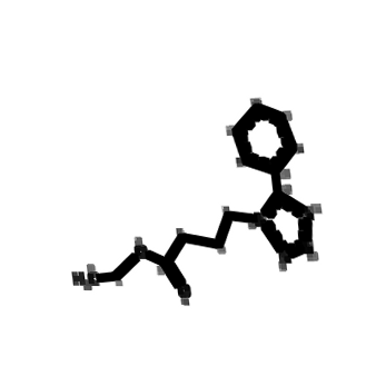 CCOC(=O)CCCn1nnnc1-c1ccccc1